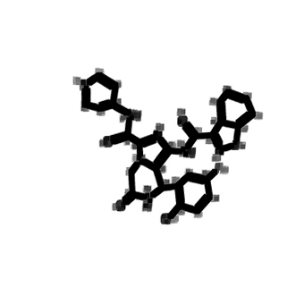 O=C1Cn2c(C(=O)Nc3ccncc3)nc(NC(=O)c3nsc4ccccc34)c2C(c2cc(F)ccc2Cl)N1